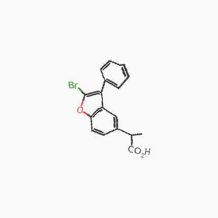 CC(C(=O)O)c1ccc2oc(Br)c(-c3ccccc3)c2c1